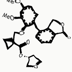 COc1ccc(-c2cccc3c2COC3=O)c(OCC2(C(=O)O[C@@H]3CCOC3)CC2)c1OC